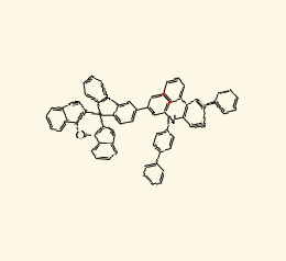 c1ccc(-c2ccc(N(c3cccc(-c4ccc5c(c4)-c4ccccc4C54c5ccc6ccccc6c5Oc5c4ccc4ccccc54)c3)c3ccc(-c4ccccc4)cc3-c3ccccc3)cc2)cc1